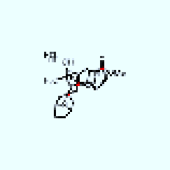 COC(=O)N1CCc2c(nc(C)n2C2CC3CCC(C2)N3CC[C@H](N)c2ccccc2)C1.Cl.Cl.Cl